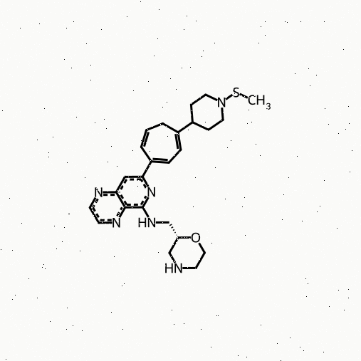 CSN1CCC(C2=CC=C(c3cc4nccnc4c(NC[C@H]4CNCCO4)n3)C=CC2)CC1